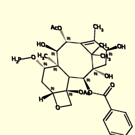 CC(=O)O[C@@H]1C2=C(C)[C@@H](O)C[C@@](O)([C@@H](OC(=O)c3ccccc3)C3[C@@](C)([C@@H](OP)C[C@H]4OC[C@@]34OC(C)=O)[C@H]1O)C2(C)C